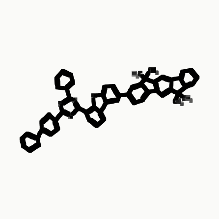 CC1(C)c2ccccc2-c2cc3c(cc21)-c1ccc(-c2ccc4sc5c(-c6nc(-c7ccccc7)nc(-c7ccc(-c8ccccc8)cc7)n6)cccc5c4c2)cc1C3(C)C